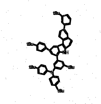 CC(C)(C)c1ccc(-c2cc(-c3cc(N(c4ccc(C(C)(C)C)cc4)c4ccc(C(C)(C)C)cc4)cc(C(C)(C)C)c3)c3[nH]c4ccc5cc(-c6cccc(C(C)(C)C)c6)ccc5c4c3c2)cc1